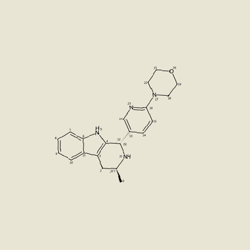 C[C@H]1Cc2c([nH]c3ccccc23)[C@H](c2ccc(N3CCOCC3)nc2)N1